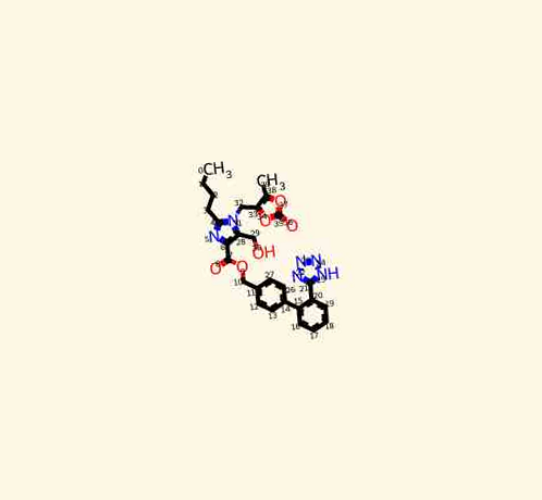 CCCCc1nc(C(=O)OCc2ccc(-c3ccccc3-c3nnn[nH]3)cc2)c(CO)n1Cc1oc(=O)oc1C